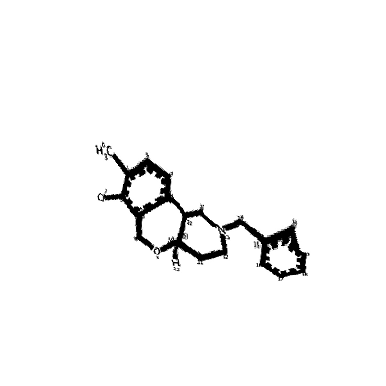 Cc1ccc2c(c1Cl)CO[C@H]1CCN(Cc3ccccc3)CC21